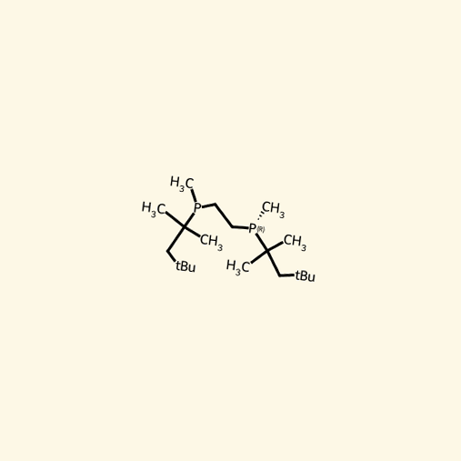 CP(CC[P@](C)C(C)(C)CC(C)(C)C)C(C)(C)CC(C)(C)C